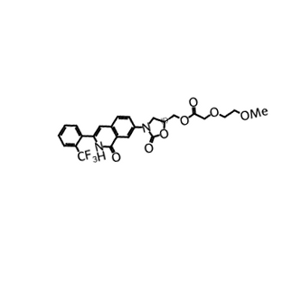 COCCOCC(=O)OC[C@@H]1CN(c2ccc3cc(-c4ccccc4C(F)(F)F)[nH]c(=O)c3c2)C(=O)O1